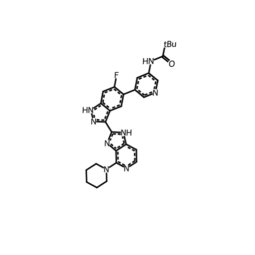 CC(C)(C)C(=O)Nc1cncc(-c2cc3c(-c4nc5c(N6CCCCC6)nccc5[nH]4)n[nH]c3cc2F)c1